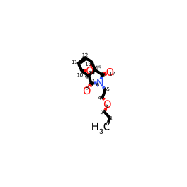 CCCOCCN1C(=O)C2C3C=CC(O3)C2C1=O